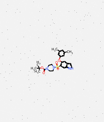 Cc1cc(C)cc(Oc2cc3cc[nH]c3cc2S(=O)(=O)N2CCN(C(=O)OC(C)(C)C)CC2)c1